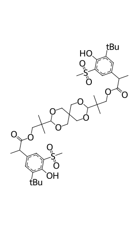 CC(C(=O)OCC(C)(C)C1OCC2(CO1)COC(C(C)(C)COC(=O)C(C)c1cc(C(C)(C)C)c(O)c(S(C)(=O)=O)c1)OC2)c1cc(C(C)(C)C)c(O)c(S(C)(=O)=O)c1